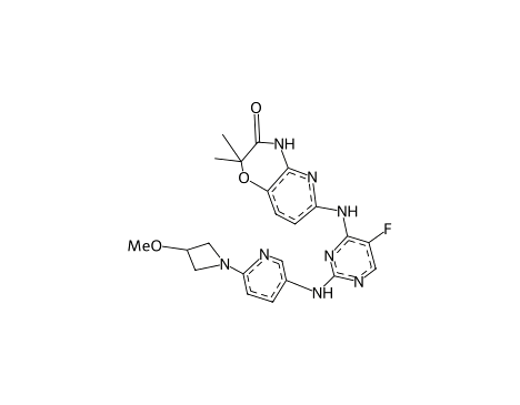 COC1CN(c2ccc(Nc3ncc(F)c(Nc4ccc5c(n4)NC(=O)C(C)(C)O5)n3)cn2)C1